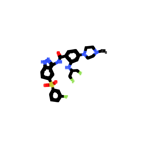 CN1CCN(c2ccc(C(=O)Nc3n[nH]c4ccc(S(=O)(=O)c5cccc(F)c5)cc34)c(NC(CF)CF)c2)CC1